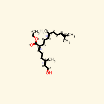 CCOC(=O)/C(=C/CC/C(C)=C/CO)CC/C=C(\C)CCC=C(C)C